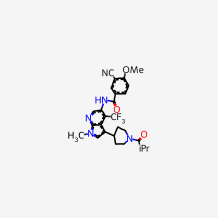 COc1ccc(C(=O)Nc2cnc3c(c(C4CCN(C(=O)C(C)C)CC4)cn3C)c2C(F)(F)F)cc1C#N